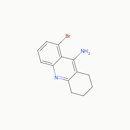 Nc1c2c(nc3cccc(Br)c13)CCCC2